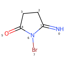 N=C1CCC(=O)N1Br